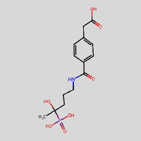 CC(O)(CCCNC(=O)c1ccc(CC(=O)O)cc1)P(=O)(O)O